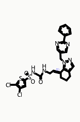 O=C(NC/C=C1\CCCc2cnn(Cc3cnc(-c4ccccc4)nc3)c21)NS(=O)(=O)c1cc(Cl)c(Cl)s1